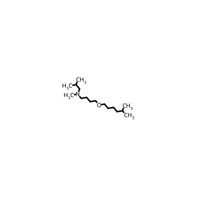 CC(C)CCCCOCCCCN(C)CC(C)C